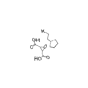 O=C(O)C1OC1C(=O)O.[K][CH2]CC1CCCC1